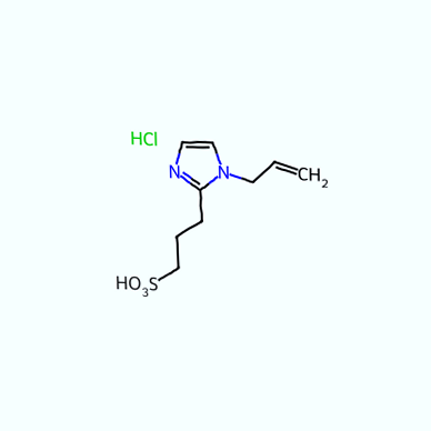 C=CCn1ccnc1CCCS(=O)(=O)O.Cl